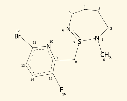 CN1CCCCN=S1Cc1nc(Br)ccc1F